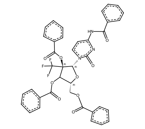 O=C(Nc1ccn([C@@H]2O[C@H](COC(=O)c3ccccc3)C(OC(=O)c3ccccc3)[C@]2(OC(=O)c2ccccc2)C(F)(F)F)c(=O)n1)c1ccccc1